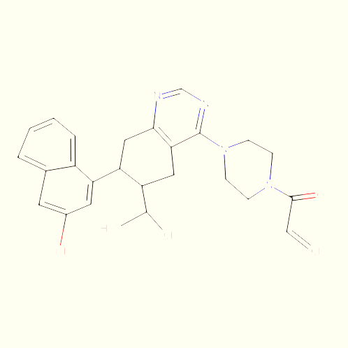 C=CC(=O)N1CCN(c2ncnc3c2CC(C(C)C)C(c2cc(O)cc4ccccc24)C3)CC1